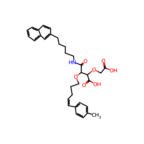 Cc1ccc(/C=C\CCCOC(C(=O)NCCCCCc2ccc3ccccc3c2)C(OCC(=O)O)C(=O)O)cc1